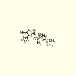 CC(C)c1cnn(C(C)(C)C(=O)Nc2ccc(C#N)c(N3CCCC3)c2)c1